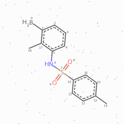 Bc1cccc(NS(=O)(=O)c2ccc(C)cc2)c1C